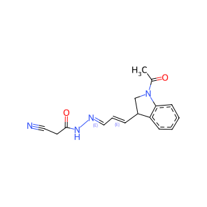 CC(=O)N1CC(/C=C/C=N/NC(=O)CC#N)c2ccccc21